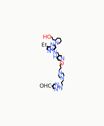 CCc1cnn2c(NCc3ccc(OCCCN4CCN(CCCN(C)c5ncc(C=O)cn5)CC4)nc3)cc(N3CCCCC3CCO)nc12